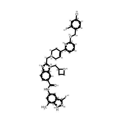 Cc1cc(NC(=O)c2ccc3nc(CN4CC=C(c5cccc(OCc6ccc(Cl)cc6F)n5)CC4)n(CC4CCO4)c3c2)cc2c(F)n[nH]c12